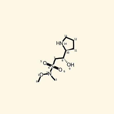 CON(C)S(=O)(=O)C[C@@H](O)[C@@H]1CCCN1